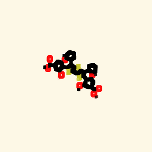 COC(=O)c1cc(OC)c(-c2sc3c(sc4c(-c5ccccc5)c(-c5c(OC)cc(C(=O)OC)cc5OC)sc43)c2-c2ccccc2)c(OC)c1